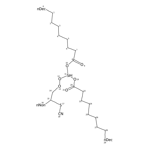 CCCCCCCCCCCCCCCCCC(=O)O[SiH](OOCC(CCCCCCCCC)SC#N)OC(=O)CCCCCCCCCCCCCCCCC